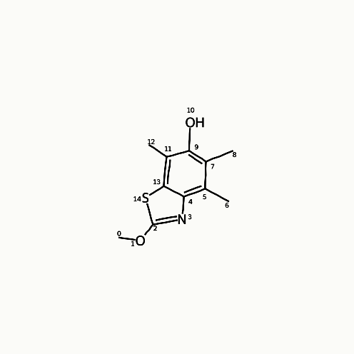 COc1nc2c(C)c(C)c(O)c(C)c2s1